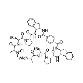 CN[C@@H](C)C(=O)N[C@H](C(=O)N1CCC[C@H]1C(=O)N[C@H]1c2ccccc2C[C@@H]1NC(=O)c1ccc(C(=O)N[C@H]2Cc3ccccc3[C@@H]2NC(=O)[C@@H]2CCCN2C(=O)[C@@H](NC(=O)[C@H](C)N(C)Cl)C(C)(C)C)cc1)C(C)(C)C